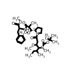 CCC(C)C(C(CC(=O)N1CCC[C@H]1C(OC)C(C)C(=O)NC(Cc1ccccc1)C(=O)OC)OC)N(C)C(=O)OC(C)(C)C